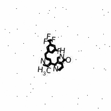 Cc1cnc(Cc2cc(F)cc(C(F)(F)F)c2)cc1-c1nccc2c1CNC2=O